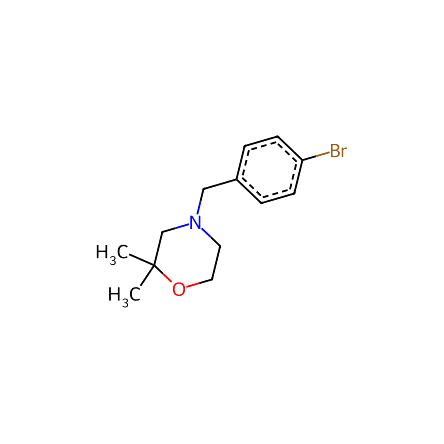 CC1(C)CN(Cc2ccc(Br)cc2)CCO1